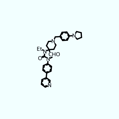 CCN(C(=O)N(C)c1ccc(-c2cccnc2)cc1)C1(C=O)CCN(Cc2ccc(N3CCCC3)cc2)CC1